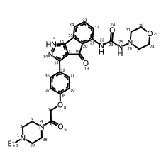 CCN1CCN(C(=O)COc2ccc(-c3n[nH]c4c3C(=O)c3c(NC(=O)NN5CCOCC5)cccc3-4)cc2)CC1